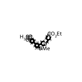 CCOC(=O)N1CCC(CN2CCC(c3cc(-c4ccc(S(C)(=O)=O)cc4)ccc3OC)CC2)CC1